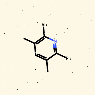 Cc1cc(C)[c]([Rb])n[c]1[Rb]